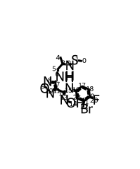 CSNC(C)CNc1nonc1/C(=N/O)Nc1ccc(F)c(Br)c1